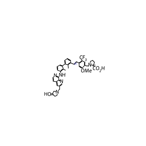 COc1cc(/C=C/c2cccc(-c3cccc(Nc4nccc5cc(CN6CC[C@@H](O)C6)cnc45)c3C)c2C)c(C(F)(F)F)cc1CN1CCC[C@H]1C(=O)O